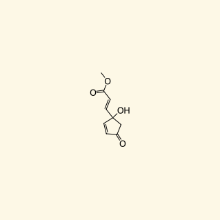 COC(=O)/C=C/C1(O)C=CC(=O)C1